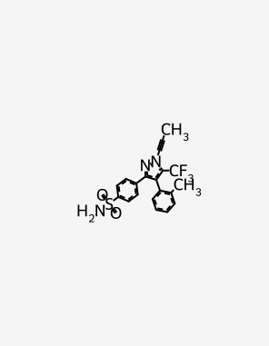 CC#Cn1nc(-c2ccc(S(N)(=O)=O)cc2)c(-c2ccccc2C)c1C(F)(F)F